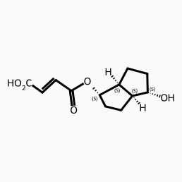 O=C(O)C=CC(=O)O[C@H]1CC[C@H]2[C@@H]1CC[C@@H]2O